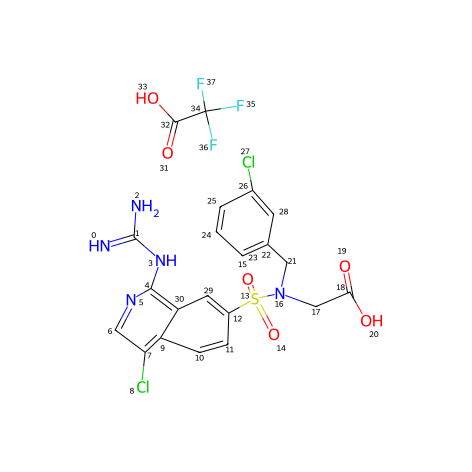 N=C(N)Nc1ncc(Cl)c2ccc(S(=O)(=O)N(CC(=O)O)Cc3cccc(Cl)c3)cc12.O=C(O)C(F)(F)F